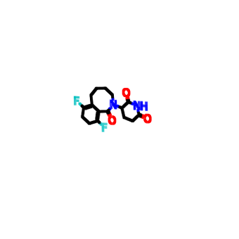 O=C1CCC(N2CCCCC3=C(F)CCC(F)=C3C2=O)C(=O)N1